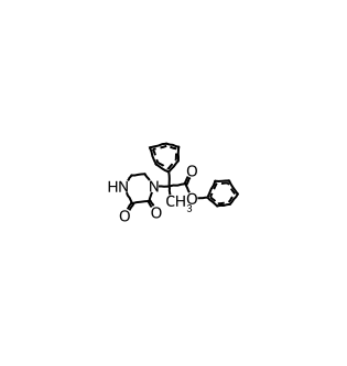 CC(C(=O)Oc1ccccc1)(c1ccccc1)N1CCNC(=O)C1=O